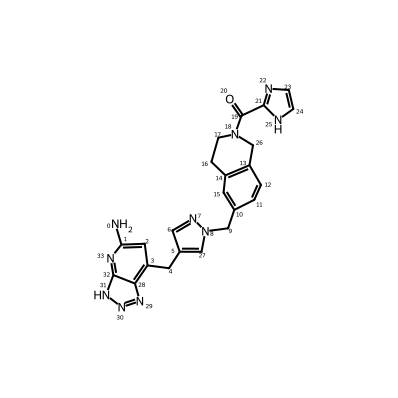 Nc1cc(Cc2cnn(Cc3ccc4c(c3)CCN(C(=O)c3ncc[nH]3)C4)c2)c2nn[nH]c2n1